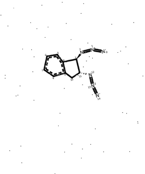 [N-]=[N+]=N[C@@H]1c2ccccc2C[C@H]1N=[N+]=[N-]